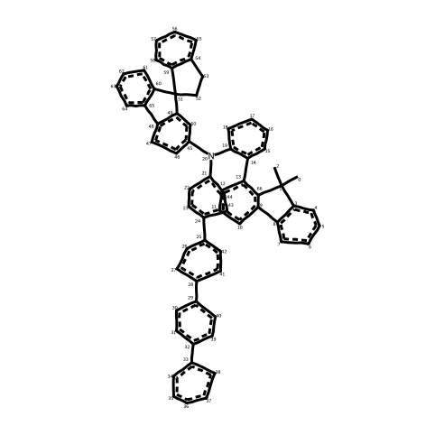 CC1(C)c2ccccc2-c2cccc(-c3ccccc3N(c3ccc(-c4ccc(-c5ccc(-c6ccccc6)cc5)cc4)cc3)c3ccc4c(c3)C3(CCc5ccccc53)c3ccccc3-4)c21